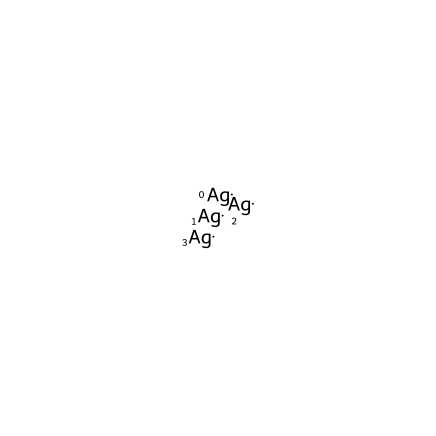 [Ag].[Ag].[Ag].[Ag]